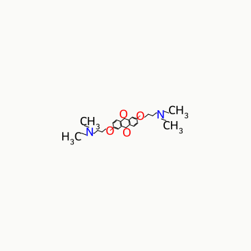 CCCN(CCC)CCCCOc1ccc2c(c1)C(=O)c1ccc(OCCCCN(CCC)CCC)cc1C2=O